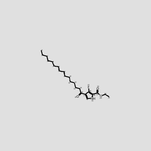 CCCCCCCCCCCCCCCC(=O)c1c[nH]c(C(=O)OCC)c1F